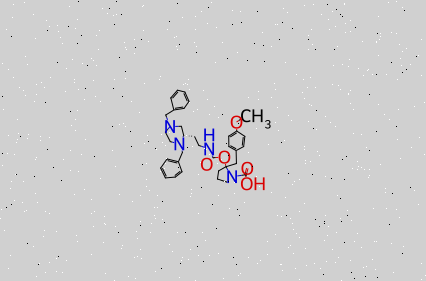 COc1ccc(CC2(OC(=O)NCC[C@H]3CN(Cc4ccccc4)CCN3Cc3ccccc3)CCCN2C(=O)O)cc1